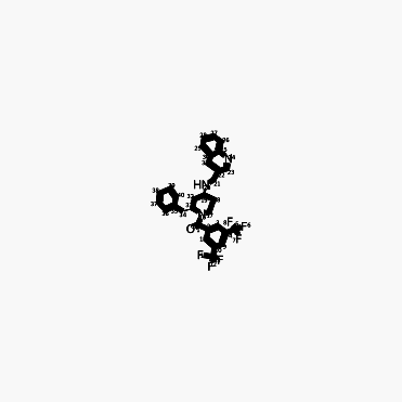 O=C(c1cc(C(F)(F)F)cc(C(F)(F)F)c1)N1CC[C@H](NCc2cnc3ccccc3c2)C[C@H]1Cc1ccccc1